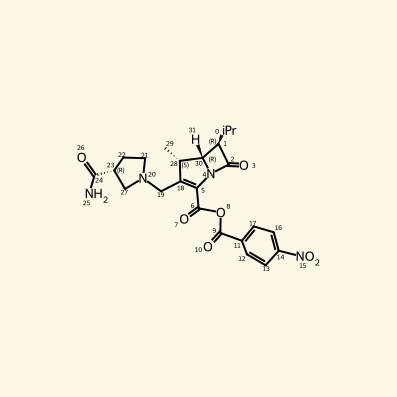 CC(C)[C@H]1C(=O)N2C(C(=O)OC(=O)c3ccc([N+](=O)[O-])cc3)=C(CN3CC[C@@H](C(N)=O)C3)[C@H](C)[C@H]12